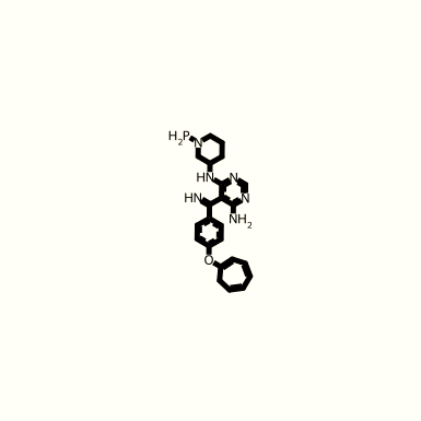 N=C(c1ccc(OC2=CC=CC=CC2)cc1)c1c(N)ncnc1NC1CCCN(P)C1